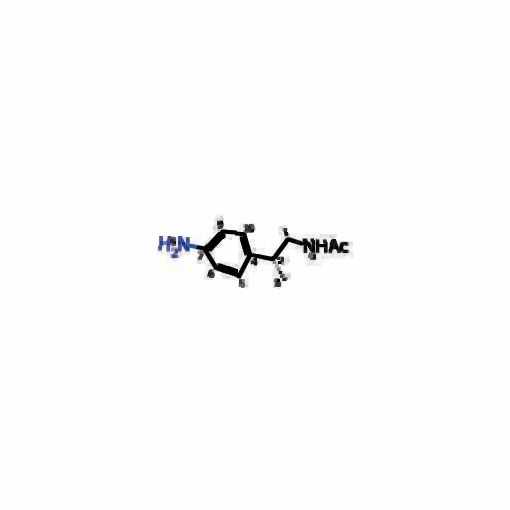 CC(=O)NC[C@H](C)c1ccc(N)cc1